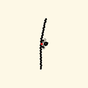 CCCCCCCCCCCCCCCCCC1=CC(=O)N(c2ccccc2N2C(=O)C=C(CCCCCCCCCCCCCCCCC)C2=O)C1=O